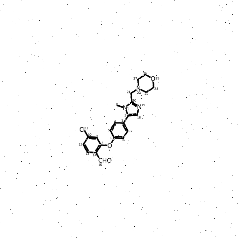 Cn1c(-c2ccc(Oc3cc(Cl)ccc3C=O)cc2)cnc1CN1CCOCC1